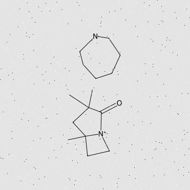 C1CCC[N]CC1.CC1(C)CC2(C)CC[N+]2C1=O